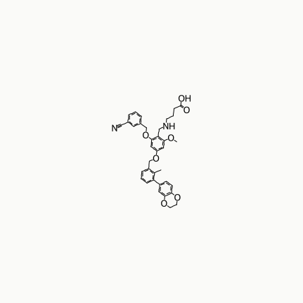 COc1cc(OCc2cccc(-c3ccc4c(c3)OCCO4)c2C)cc(OCc2cccc(C#N)c2)c1CNCCCC(=O)O